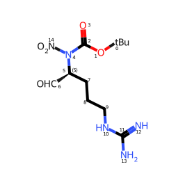 CC(C)(C)OC(=O)N([C@H](C=O)CCCNC(=N)N)[N+](=O)[O-]